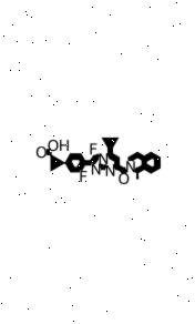 C[C@@H]1c2ccccc2CCN1C(=O)c1cc(C2CC2)n2c(F)c(-c3ccc([C@@H]4C[C@H]4C(=O)O)cc3F)nc2n1